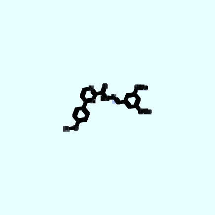 COc1cc(/C=N/NC(=O)c2nccc(-c3ccc(OC(C)C)cc3)n2)cc(OC)c1